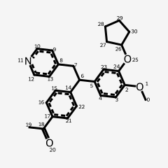 COc1ccc(C(Cc2ccncc2)c2ccc(C(C)=O)cc2)cc1OC1CCCC1